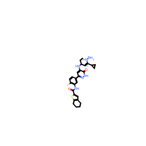 CCC(/C=C(\NN)C1CC1)Nc1cc(-c2ccc(F)c(NC(=O)c3cc4c(s3)CCCC4)c2)n[nH]c1=O